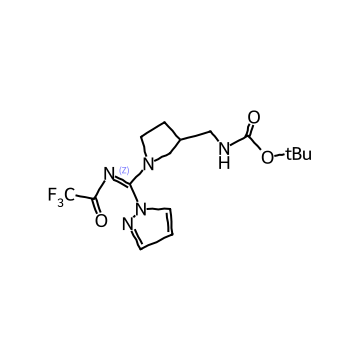 CC(C)(C)OC(=O)NCC1CCN(/C(=N/C(=O)C(F)(F)F)n2cccn2)C1